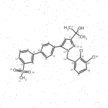 CC(C)(O)c1cc(-c2ccc(-c3cccc(S(C)(=O)=O)c3)cc2)n(Cc2cccc(Cl)c2Cl)n1